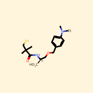 CCN(C)c1ccc(COC[C@H](NC(=O)C(C)(C)CS)C(=O)O)cc1